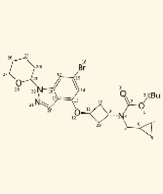 CC(C)(C)OC(=O)N(CC1CC1)[C@H]1C[C@H](Oc2cc(Br)cc3c2cnn3C2CCCCO2)C1